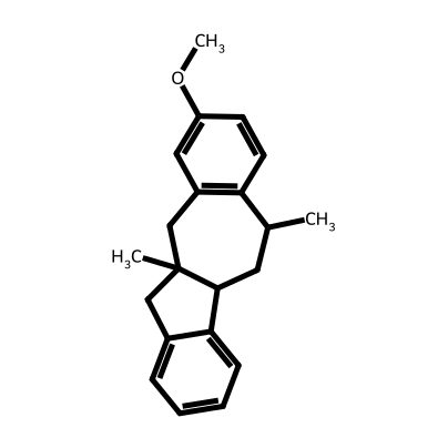 COc1ccc2c(c1)CC1(C)Cc3ccccc3C1CC2C